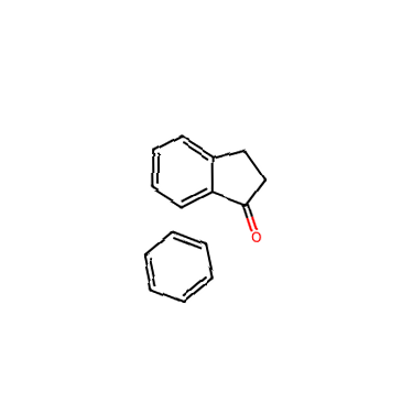 O=C1CCc2ccccc21.c1ccccc1